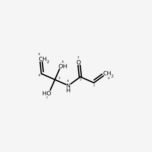 C=CC(=O)NC(O)(O)C=C